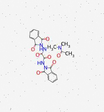 CC(=O)N(C)C.O=C(NN1C(=O)c2ccccc2C1=O)C(=O)NN1C(=O)c2ccccc2C1=O